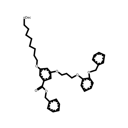 CCCCCCCCCCCCCCCCCCOc1cc(OCCCOc2ccccc2OCc2ccccc2)cc(C(=O)OCc2ccccc2)c1